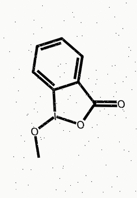 COI1OC(=O)c2ccccc21